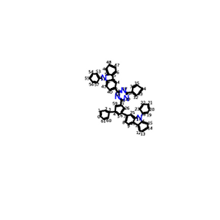 c1ccc(-c2cc(-c3ccc4c5ccccc5n(-c5ccccc5)c4c3)cc(-c3nc(-c4ccccc4)nc(-c4ccc5c(c4)c4ccccc4n5-c4ccccc4)n3)c2)cc1